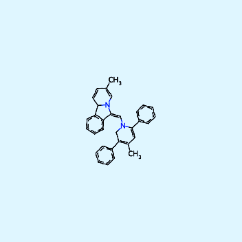 CC1=CN2/C(=C/N3CC(c4ccccc4)=C(C)C=C3c3ccccc3)c3ccccc3C2C=C1